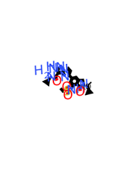 CCS(=O)(=O)Nc1cc(-c2ccn3nc(N)c(C(=O)NC4CC4)c3n2)cc2c1C(=O)N([C@@H](C)C1CC1)C2